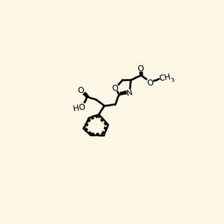 COC(=O)C1COC(CC(CC(=O)O)c2ccccc2)=N1